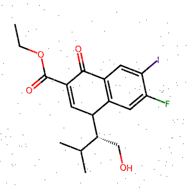 CCOC(=O)C1=CC([C@H](CO)C(C)C)c2cc(F)c(I)cc2C1=O